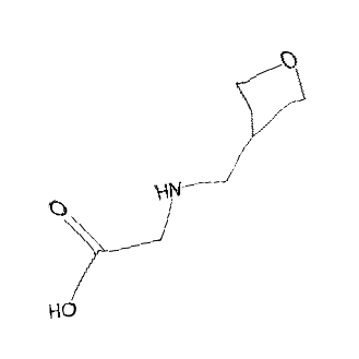 O=C(O)CNCC1COC1